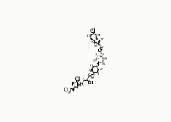 O=[N+]([O-])c1cn(CCC(O)COc2ccc(N3CCC(COCc4cc5cc(Cl)ccc5o4)CC3)cc2)c(Cl)n1